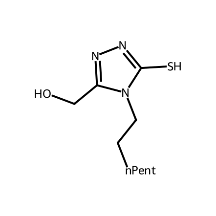 CCCCCCCn1c(S)nnc1CO